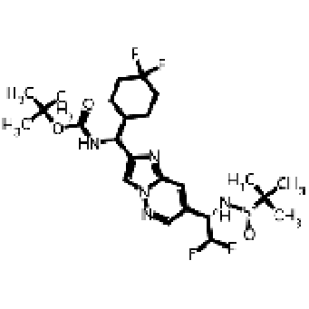 CC(C)(C)OC(=O)N[C@H](c1cn2ncc([C@H](N[S@+]([O-])C(C)(C)C)C(F)F)cc2n1)C1CCC(F)(F)CC1